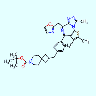 Cc1sc2c(c1C)C(c1ccc(CC3CC4(CCN(C(=O)OC(C)(C)C)CC4)C3)cc1)=N[C@@H](Cc1ncco1)c1nnc(C)n1-2